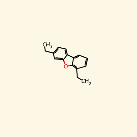 CCc1ccc2c(c1)oc1c(CC)cccc12